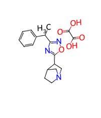 CC(c1ccccc1)c1noc(C2CN3CCC2C3)n1.O=C(O)C(=O)O